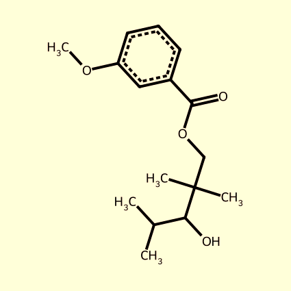 COc1cccc(C(=O)OCC(C)(C)C(O)C(C)C)c1